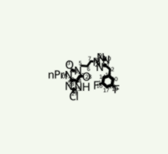 CCCn1c(=O)n(CCCn2nnc(Cc3cc(F)cc(F)c3)n2)c(=O)c2[nH]c(Cl)nc21